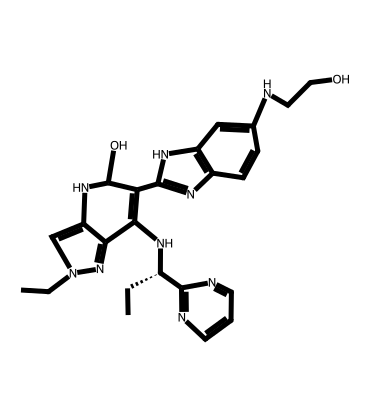 CC[C@H](NC1=C(c2nc3ccc(NCCO)cc3[nH]2)C(O)Nc2cn(CC)nc21)c1ncccn1